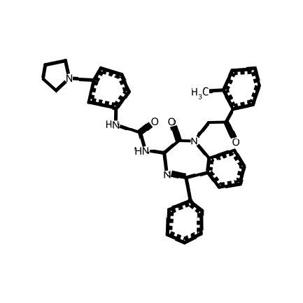 Cc1ccccc1C(=O)CN1C(=O)C(NC(=O)Nc2cccc(N3CCCC3)c2)N=C(c2ccccc2)c2ccccc21